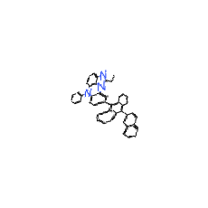 CCc1nc2cccc3c2n1-c1cc(-c2c4ccccc4c(-c4ccc5ccccc5c4)c4ccccc24)ccc1N3c1ccccc1